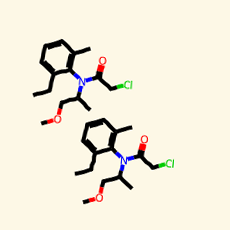 CCc1cccc(C)c1N(C(=O)CCl)C(C)COC.CCc1cccc(C)c1N(C(=O)CCl)C(C)COC